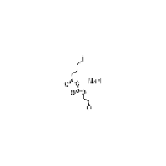 CCCCCC(=O)OS(=O)OCC=O.[NaH]